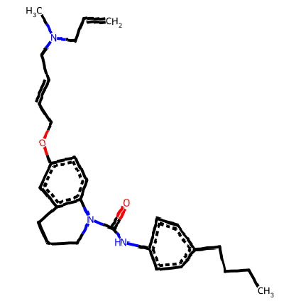 C=CCN(C)CC=CCOc1ccc2c(c1)CCCN2C(=O)Nc1ccc(CCCC)cc1